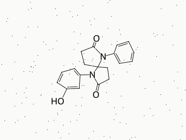 O=C1CCC2(CCC(=O)N2c2cccc(O)c2)N1c1ccccc1